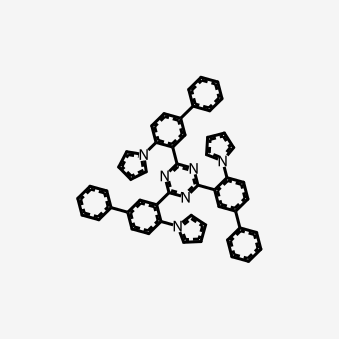 c1ccc(-c2ccc(-n3cccc3)c(-c3nc(-c4cc(-c5ccccc5)ccc4-n4cccc4)nc(-c4cc(-c5ccccc5)ccc4-n4cccc4)n3)c2)cc1